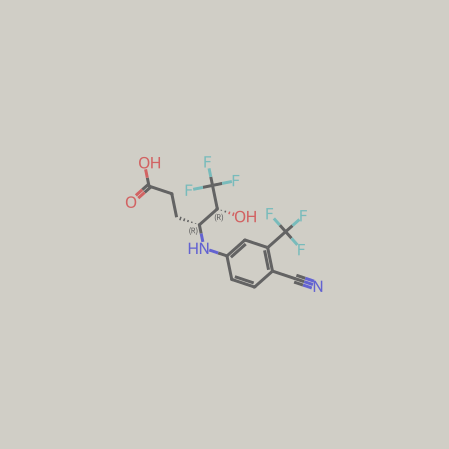 N#Cc1ccc(N[C@H](CCC(=O)O)[C@@H](O)C(F)(F)F)cc1C(F)(F)F